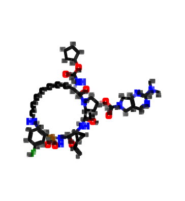 C=C[C@@H]1C[C@@]12NC(=O)[C@@H]1C[C@@H](OC(=O)N3Cc4cnc(N(C)C)nc4C3)CN1C(=O)[C@@H](NC(=O)OC1CCCC1)CCCCCCCNc1ccc(F)cc1S(=O)(=O)NC2=O